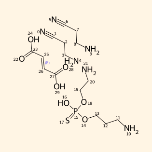 N#CCCN.N#CCCN.NCCCOP(O)(=S)OCCN.O=C(O)/C=C/C(=O)O